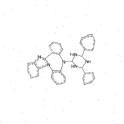 c1ccc(C2NC(c3ccccc3)NC(N3c4ccccc4-c4nc5ccccc5n4-c4ccccc43)N2)cc1